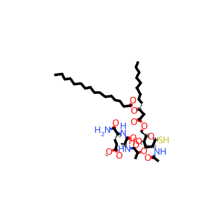 CCCCCCCCCCCCCCCC(=O)O[C@H](CCCCCCCCC)CC(=O)OC[C@H]1O[C@@H](S)[C@H](NC(C)=O)[C@H](OC(C)C(=O)N[C@@H](C)C(=O)N[C@H](CCC(=O)OC)C(N)=O)[C@@H]1O